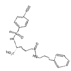 C#Cc1ccc(S(=O)(=O)N[C@H](CCC(=O)NCCc2ccccc2)C(=O)O)cc1